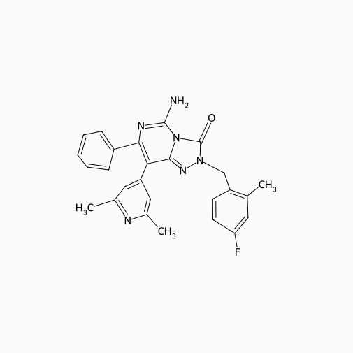 Cc1cc(-c2c(-c3ccccc3)nc(N)n3c(=O)n(Cc4ccc(F)cc4C)nc23)cc(C)n1